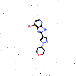 Brc1ccnc2[nH]c(-c3cnn(C4CCOCC4)c3)nc12